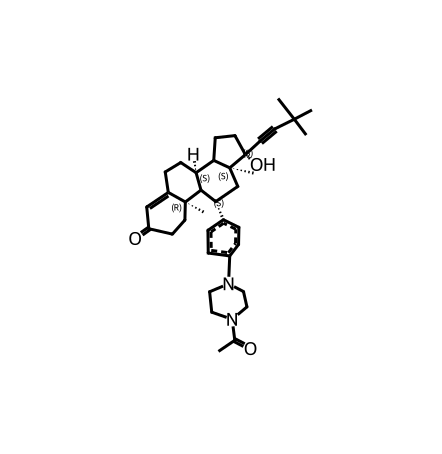 CC(=O)N1CCN(c2ccc([C@H]3C[C@@]4(C)C(CC[C@@]4(O)C#CC(C)(C)C)[C@@H]4CCC5=CC(=O)CC[C@]5(C)C43)cc2)CC1